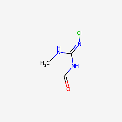 CN/C(=N\Cl)NC=O